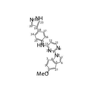 COc1ccc2c(ccn2-c2nccc(Nc3ccc(-c4cn[nH]c4)cc3)n2)c1